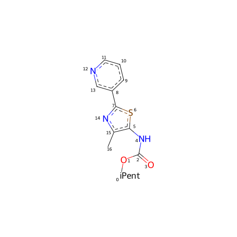 CCCC(C)OC(=O)Nc1sc(-c2cccnc2)nc1C